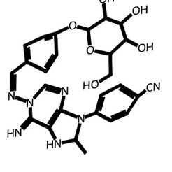 CC1Nc2c(ncn(/N=C\c3ccc(OC4OC(CO)C(O)C(O)C4O)cc3)c2=N)N1c1ccc(C#N)cc1